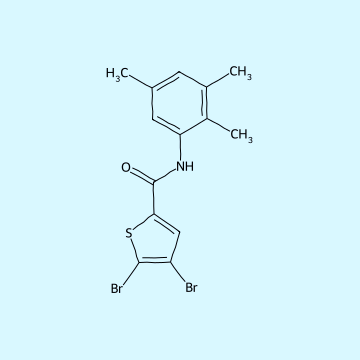 Cc1cc(C)c(C)c(NC(=O)c2cc(Br)c(Br)s2)c1